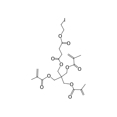 C=C(C)C(=O)OCC(COC(=O)CCC(=O)OCCI)(COC(=O)C(=C)C)COC(=O)C(=C)C